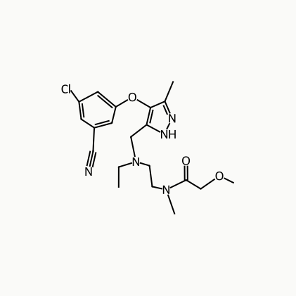 CCN(CCN(C)C(=O)COC)Cc1[nH]nc(C)c1Oc1cc(Cl)cc(C#N)c1